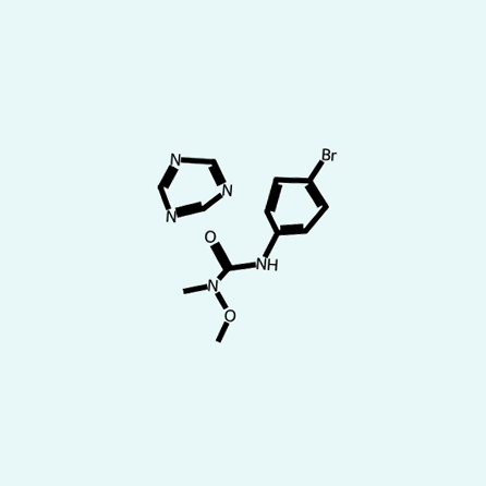 CON(C)C(=O)Nc1ccc(Br)cc1.c1ncncn1